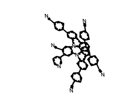 N#Cc1ccc(-c2ccc3c4ccc(-c5ccc(C#N)cc5)cc4n(-c4cc(C#N)c(-c5cccnc5)cc4-n4c5cc(-c6ccc(C#N)cc6)ccc5c5ccc(-c6ccc(C#N)cc6)cc54)c3c2)cc1